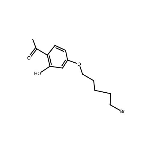 CC(=O)c1ccc(OCCCCCBr)cc1O